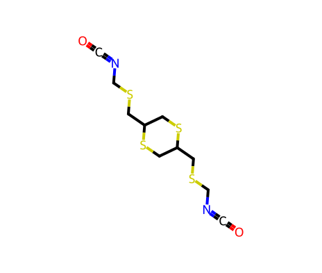 O=C=NCSCC1CSC(CSCN=C=O)CS1